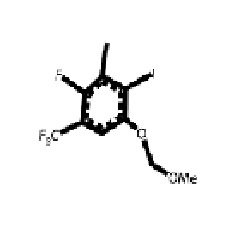 COCOc1cc(C(F)(F)F)c(F)c(C)c1I